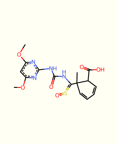 COc1cc(OC)nc(NC(=O)NC(=S=O)C2(C)C=CC=CC2C(=O)O)n1